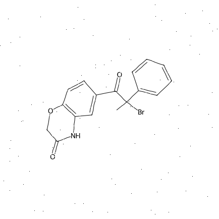 CC(Br)(C(=O)c1ccc2c(c1)NC(=O)CO2)c1ccccc1